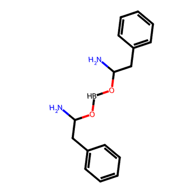 NC(Cc1ccccc1)OBOC(N)Cc1ccccc1